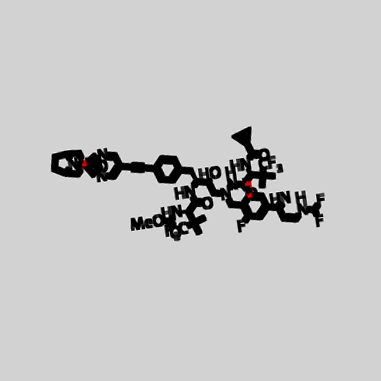 COC(=O)N[C@H](C(=O)N[C@@H](Cc1ccc(C#Cc2cnc(N3CC4CCC(C3)N4C3COC3)nc2)cc1)[C@@H](O)CN(Cc1c(F)cc(C(=N)/C=C\NC(F)F)cc1F)NC(=O)[C@@H](NC(=O)C1CC1)C(C)(C)C(F)(F)F)C(C)(C)C(F)(F)F